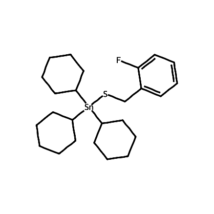 Fc1ccccc1C[S][Sn]([CH]1CCCCC1)([CH]1CCCCC1)[CH]1CCCCC1